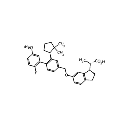 COc1ccc(F)c(-c2ccc(COc3ccc4c(c3)[C@@H]([C@H](C)C(=O)O)CC4)cc2[C@H]2CCCC2(C)C)c1